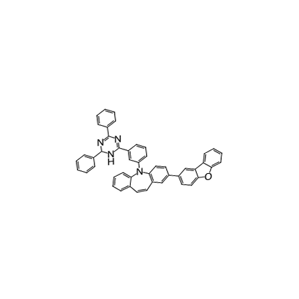 C1=Cc2cc(-c3ccc4oc5ccccc5c4c3)ccc2N(c2cccc(C3=NC(c4ccccc4)=NC(c4ccccc4)N3)c2)c2ccccc21